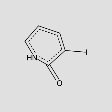 O=c1[nH]cccc1I